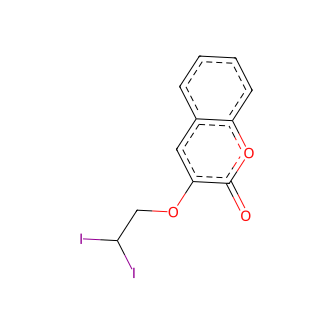 O=c1oc2ccccc2cc1OCC(I)I